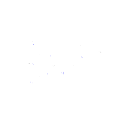 NC1=NC(N)(CCN2CCCC2)NC(N)=N1